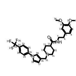 COc1ccc(CCNC(=O)C2CCN(Cc3ccn(-c4ccc(C(F)(F)F)cc4)c3)CC2)cc1OC